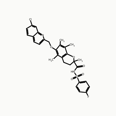 Cc1c(C)c2c(c(C)c1OCc1ccc3ccc(Cl)cc3n1)CCC(C)(C(=O)NS(=O)(=O)c1ccc(F)cc1)O2